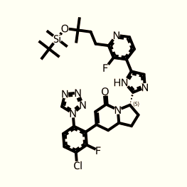 CC(C)(CCc1nccc(-c2cnc([C@@H]3CCC4CC(c5c(-n6cnnn6)ccc(Cl)c5F)=CC(=O)N43)[nH]2)c1F)O[Si](C)(C)C(C)(C)C